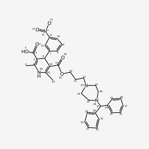 CC1=C(C(=O)O)C(c2cccc([N+](=O)[O-])c2)C(C(=O)OCCCN2CCN(C(c3ccccc3)c3ccccc3)CC2)=C(C)N1